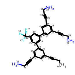 CCC#Cc1cc(C#CCN)cc(-c2cc(-c3cc(C#CCN)cc(C#CCN)c3)cc(C(F)(F)F)c2)c1